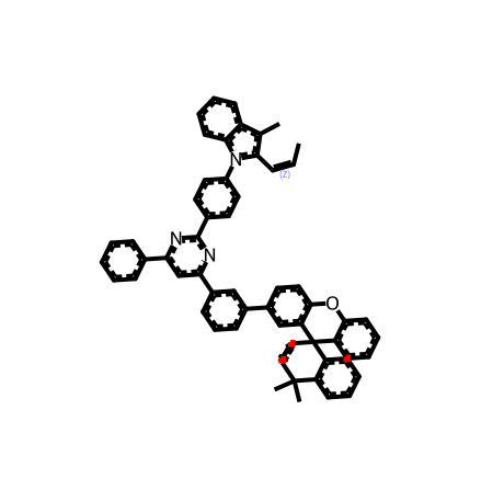 C/C=C\c1c(C)c2ccccc2n1-c1ccc(-c2nc(-c3ccccc3)cc(-c3cccc(-c4ccc5c(c4)C4(c6ccccc6O5)c5ccccc5C(C)(C)c5ccccc54)c3)n2)cc1